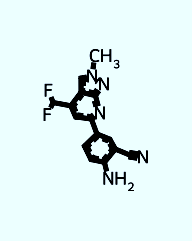 Cn1cc2c(C(F)F)cc(-c3ccc(N)c(C#N)c3)nc2n1